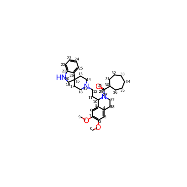 COc1cc2c(cc1OC)C(CCN1CCC3(CC1)CNc1ccccc13)N(C(=O)C1CCCCCC1)CC2